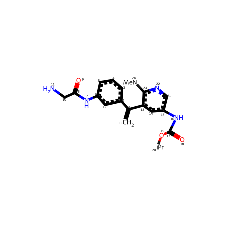 C=C(c1cccc(NC(=O)CN)c1)c1cc(NC(=O)OC(C)C)cnc1NC